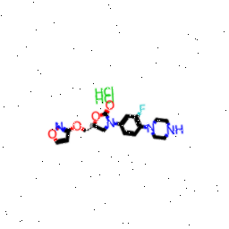 Cl.Cl.O=C1O[C@@H](COc2ccon2)CN1c1ccc(N2CCNCC2)c(F)c1